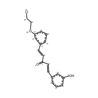 O=C(/C=C/c1cccc(O)c1)/C=C/c1cccc(OCCCl)c1